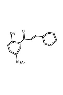 CC(=O)Nc1ccc(O)c(C(=O)C=Cc2ccccc2)c1